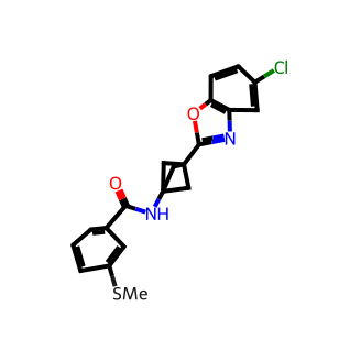 CSc1cccc(C(=O)NC23CC(c4nc5cc(Cl)ccc5o4)(C2)C3)c1